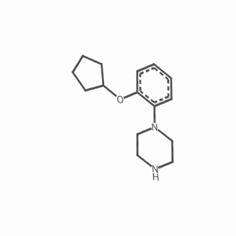 c1ccc(N2CCNCC2)c(OC2CCCC2)c1